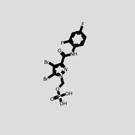 O=C(Nc1ccc(F)cc1F)c1nn(COP(=O)(O)O)c(Br)c1Br